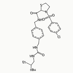 CCCCC(CC)CNC(=O)NCc1ccc(CNC(=O)C2SCCN2S(=O)(=O)c2ccc(Cl)cc2)cc1